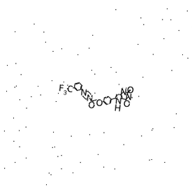 Cn1c(=O)c2[nH]c(-c3ccc(OCC(=O)N4CCN(c5cccc(C(F)(F)F)c5)CC4)cc3)cc2n(C)c1=O